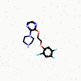 Fc1cc(F)c(OCCOc2nccnc2N2CCNCC2)cc1F